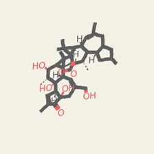 CC1=C[C@@H]2C([C@H](C)C(C(=O)O[C@@]34[C@H](O)[C@@H](C)[C@@]5(O)[C@@H](C=C(CO)C[C@]6(O)C(=O)C(C)=C[C@@H]56)[C@H]3C4(C)C)C3[C@@H]2C3(C)C)[C@@H]2CC(C)CC2C1